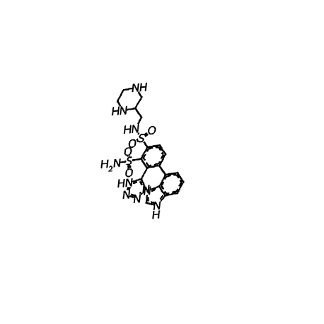 NS(=O)(=O)c1c(S(=O)(=O)NCC2CNCCN2)ccc(-c2cccc3[nH]cnc23)c1-c1nnn[nH]1